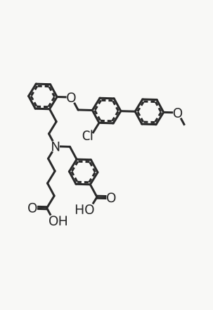 COc1ccc(-c2ccc(COc3ccccc3CCN(CCCCC(=O)O)Cc3ccc(C(=O)O)cc3)c(Cl)c2)cc1